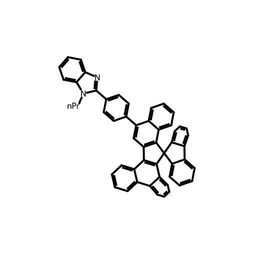 CCCn1c(-c2ccc(-c3cc4c(c5ccccc35)C3(c5ccccc5-c5ccccc53)c3c-4c4ccccc4c4ccccc34)cc2)nc2ccccc21